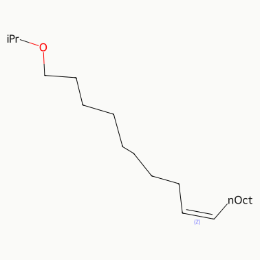 CCCCCCCC/C=C\CCCCCCCCOC(C)C